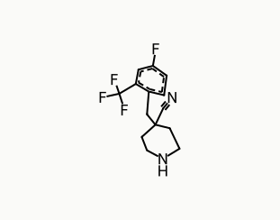 N#CC1(Cc2ccc(F)cc2C(F)(F)F)CCNCC1